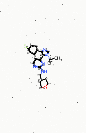 CC(n1cnc(-c2ccc(F)cc2)c1-c1ccnc(NCC2CCOCC2)n1)C(F)(F)F